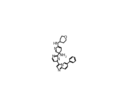 NC1(c2nccc(-c3cnc4ccc(-c5ccccc5)cn34)n2)C=NC(NC2CCOCC2)=CC1